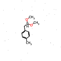 CO[SiH](Cc1ccc(C)cc1)OC